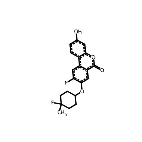 CC1(F)CCC(Oc2cc3c(=O)oc4cc(O)ccc4c3cc2F)CC1